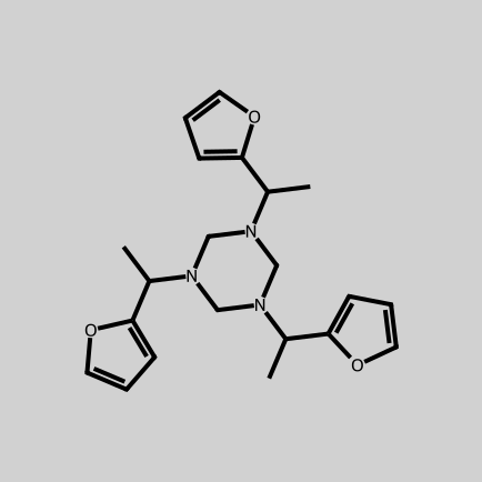 CC(c1ccco1)N1CN(C(C)c2ccco2)CN(C(C)c2ccco2)C1